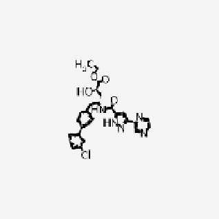 CCOC(=O)[C@H](O)C[C@@H](Cc1ccc(-c2cccc(Cl)c2)cc1)NC(=O)c1cc(-c2cnccn2)n[nH]1